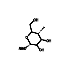 CO[C@@H]1OC(CO)[C@H](C)[C@@H](O)C1O